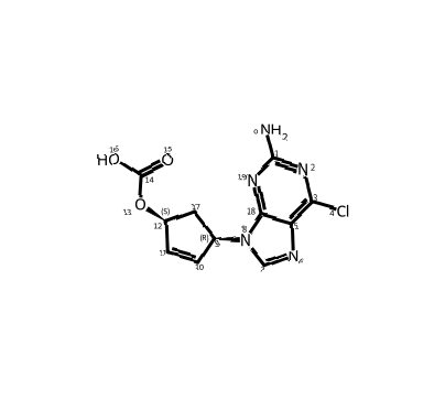 Nc1nc(Cl)c2ncn([C@H]3C=C[C@@H](OC(=O)O)C3)c2n1